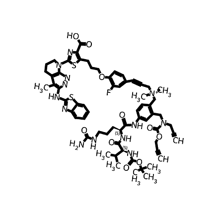 C#CCOC(=O)N(CC#C)Cc1cc(NC(=O)[C@H](CCCNC(N)=O)NC(=O)[C@@H](NC(=O)OC(C)(C)C)C(C)C)ccc1C[N+](C)(C)CC#Cc1ccc(OCCCc2sc(N3CCCc4c3nnc(Nc3nc5ccccc5s3)c4C)nc2C(=O)O)c(F)c1